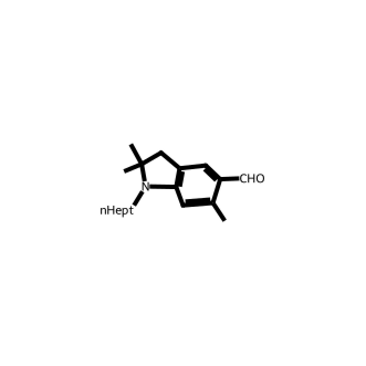 CCCCCCCN1c2cc(C)c(C=O)cc2CC1(C)C